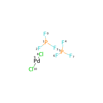 FP(F)F.FP(F)F.[Cl][Pd][Cl]